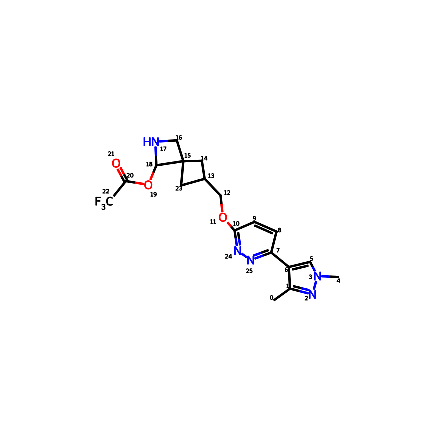 Cc1nn(C)cc1-c1ccc(OCC2CC3(CNC3OC(=O)C(F)(F)F)C2)nn1